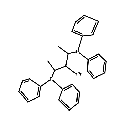 CCCC(C(C)P(c1ccccc1)c1ccccc1)C(C)P(c1ccccc1)c1ccccc1